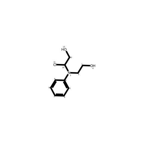 OCCN(c1ccccc1)C(Cl)CO